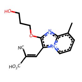 Cc1cccn2c(/C=C(\C#N)C(=O)O)c(OCCCO)nc12